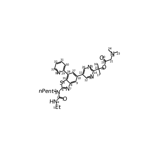 CCCCCN(C(=O)NCC)c1nc2cc(-c3cnc(C(C)(C)OC(=O)CN(C)C)nc3)cc(-c3ccccn3)c2s1